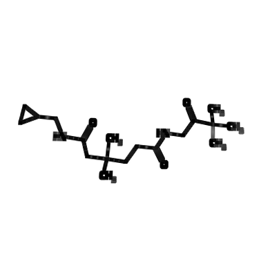 CC(C)(CCC(=O)NCC(=O)C(C)(C)C)CC(=O)NCC1CC1